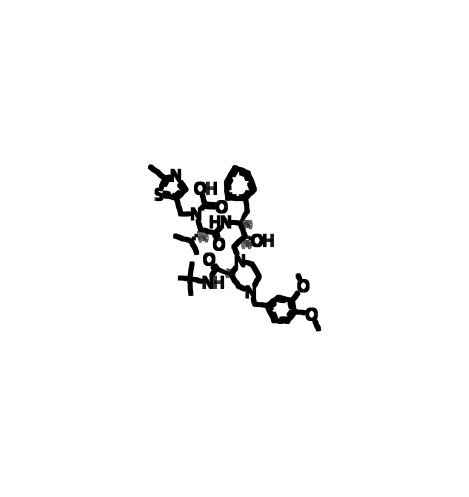 COc1ccc(CN2CCN(C[C@@H](O)[C@H](Cc3ccccc3)NC(=O)[C@H](C(C)C)N(Cc3cnc(C)s3)C(=O)O)[C@H](C(=O)NC(C)(C)C)C2)cc1OC